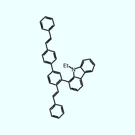 CCn1c2ccccc2c2cccc(-c3cc(-c4ccc(C=Cc5ccccc5)cc4)ccc3C=Cc3ccccc3)c21